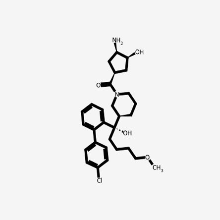 COCCCC[C@@](O)(c1ccccc1-c1ccc(Cl)cc1)[C@@H]1CCCN(C(=O)[C@H]2C[C@@H](N)[C@@H](O)C2)C1